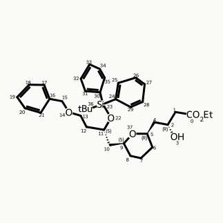 CCOC(=O)C[C@H](O)C[C@H]1CCC[C@@H](C[C@H](CCOCc2ccccc2)O[Si](c2ccccc2)(c2ccccc2)C(C)(C)C)O1